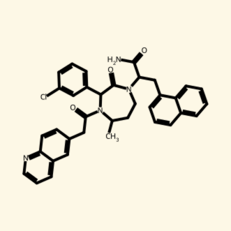 CC1CCN(C(Cc2cccc3ccccc23)C(N)=O)C(=O)C(c2cccc(Cl)c2)N1C(=O)Cc1ccc2ncccc2c1